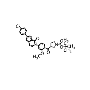 COc1cc(-n2ccc3cc(-c4ccc(Cl)cc4)sc3c2=O)ccc1C(=O)C1CCN(C(=O)OC(C)(C)C)C1